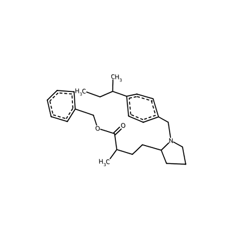 CCC(C)c1ccc(CN2CCCC2CCC(C)C(=O)OCc2ccccc2)cc1